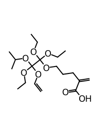 C=COC(OCC)(OC(C)C)C(OCC)(OCC)OCCCC(=C)C(=O)O